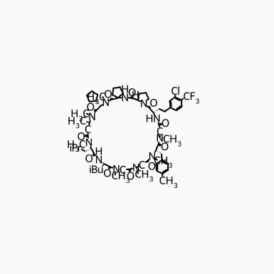 CC[C@H](C)[C@@H]1NC(=O)[C@H](CC(C)C)N(C)C(=O)C[C@@H](C)N(C)C(=O)[C@H](C2CCCC2)N(C)C(=O)C2(CCCC2)NC(=O)[C@@H]2CCCN2C(=O)[C@H](CCc2ccc(C(F)(F)F)c(Cl)c2)NC(=O)CN(C)C(=O)[C@H](Cc2ccc(C)cc2)N(C)C(=O)CN(C)C(=O)CN(C)C1=O